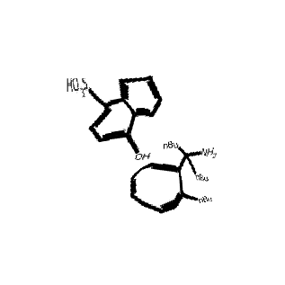 CCCCc1ccccc1C(N)(CCCC)CCCC.O=S(=O)(O)c1ccc(O)c2ccccc12